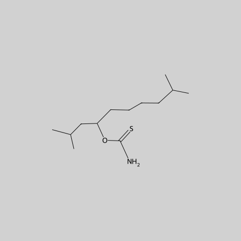 CC(C)CCCCC(CC(C)C)OC(N)=S